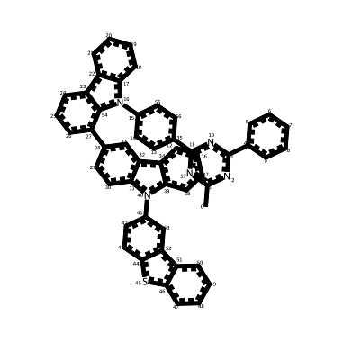 Cc1nc(-c2ccccc2)nc(-c2ccc(-n3c4ccccc4c4cccc(-c5ccc6c(c5)c5ccccc5n6-c5ccc6sc7ccccc7c6c5)c43)cc2)n1